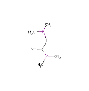 CP(C)C[CH]([V])P(C)C